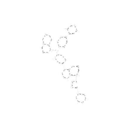 c1ccc(-c2ccc(N(c3ccc(-c4ccc5c6c(cccc46)-c4sc(-c6ccccc6)nc4-5)cc3)c3cccc4ccccc34)cc2)cc1